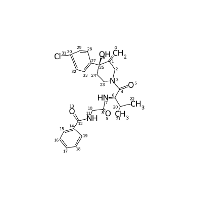 C=C1CN(C(=O)[C@H](NC(=O)CNC(=O)c2ccccc2)C(C)C)CC[C@]1(O)c1ccc(Cl)cc1